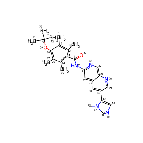 Bc1c(B)c(C(=O)Nc2cc3cc(-c4cncn4C)cnc3cn2)c(B)c(B)c1OC(B)(B)B